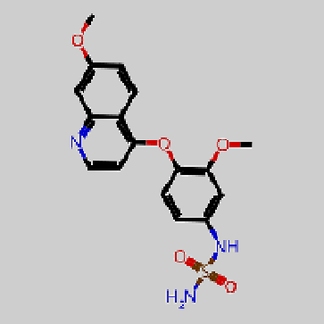 COc1ccc2c(Oc3ccc(NS(N)(=O)=O)cc3OC)ccnc2c1